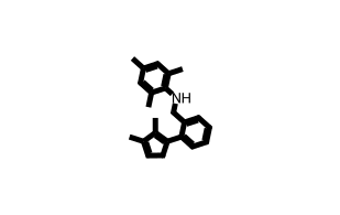 CC1=CCC(c2ccccc2CNc2c(C)cc(C)cc2C)=C1C